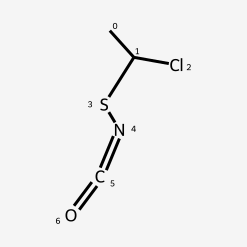 CC(Cl)SN=C=O